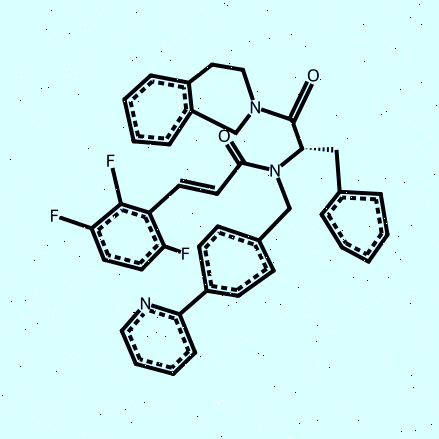 O=C([C@H](Cc1ccccc1)N(Cc1ccc(-c2ccccn2)cc1)C(=O)/C=C/c1c(F)ccc(F)c1F)N1CCc2ccccc2C1